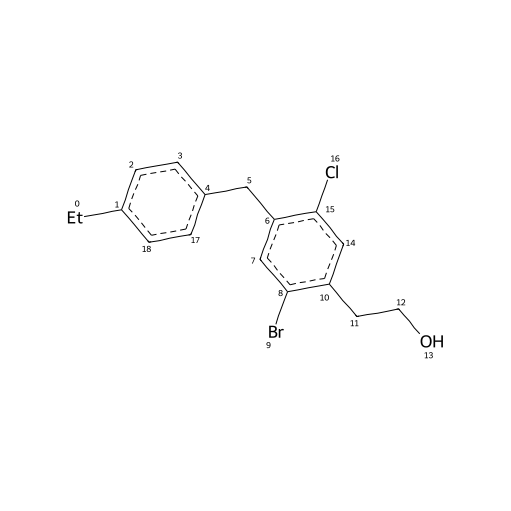 CCc1ccc(Cc2cc(Br)c(CCO)cc2Cl)cc1